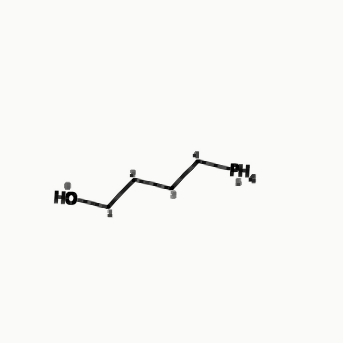 OCCCC[PH4]